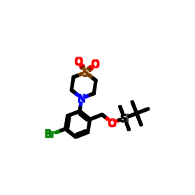 CC(C)(C)[Si](C)(C)OCc1ccc(Br)cc1N1CCS(=O)(=O)CC1